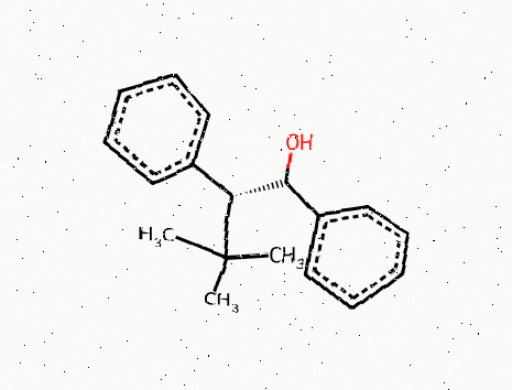 CC(C)(C)[C@H](c1ccccc1)C(O)c1ccccc1